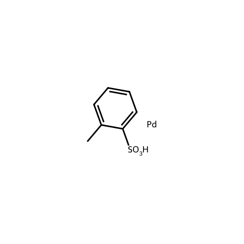 Cc1ccccc1S(=O)(=O)O.[Pd]